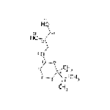 CC(C)C1(C)CCCC(OCC(O)CO)C1